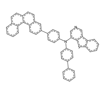 c1ccc(-c2ccc(N(c3ccc(-c4ccc5c(ccc6ccc7ccccc7c65)c4)cc3)c3cncc4c3sc3ccccc34)cc2)cc1